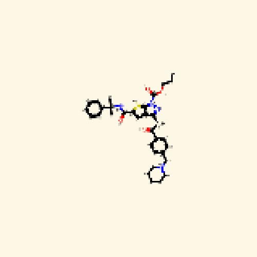 CCCOC(=O)n1nc([AsH]C(=O)c2ccc(CN3CCCCC3)cc2)c2cc(C(=O)NC(C)(C)c3ccccc3)sc21